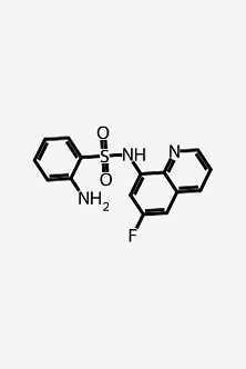 Nc1ccccc1S(=O)(=O)Nc1cc(F)cc2cccnc12